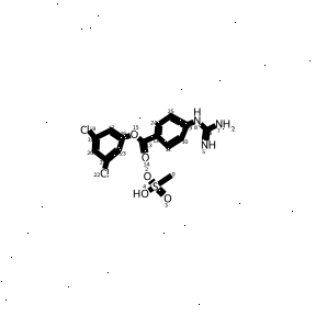 CS(=O)(=O)O.N=C(N)Nc1ccc(C(=O)Oc2cc(Cl)cc(Cl)c2)cc1